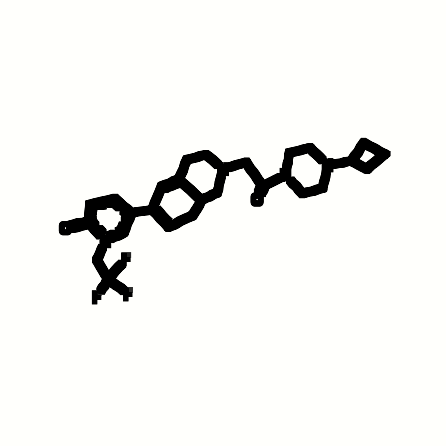 O=C(CN1CCC2=CC(c3ccc(=O)n(CC(F)(F)F)c3)=CCC2C1)N1CCN(C2CCC2)CC1